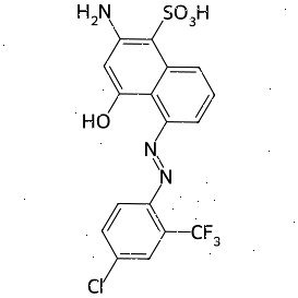 Nc1cc(O)c2c(N=Nc3ccc(Cl)cc3C(F)(F)F)cccc2c1S(=O)(=O)O